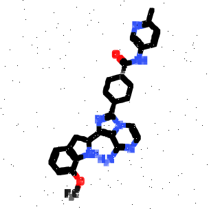 Cc1ccc(NC(=O)[C@H]2CC[C@H](c3nc(C4Cc5cccc(OC(F)(F)F)c5N4)c4c(N)nccn43)CC2)cn1